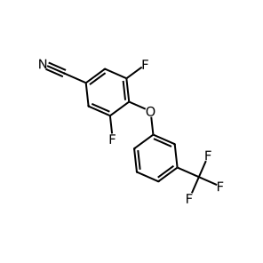 N#Cc1cc(F)c(Oc2cccc(C(F)(F)F)c2)c(F)c1